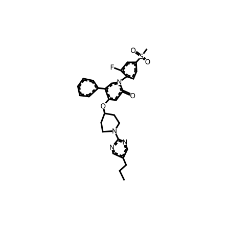 CCCc1cnc(N2CCC(Oc3cc(=O)n(-c4ccc(S(C)(=O)=O)cc4F)cc3-c3ccccc3)CC2)nc1